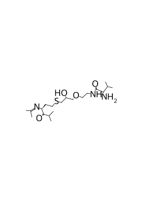 CC(C)=N[C@@H](CCSCC(O)COCCNC(=O)[C@@H](N)C(C)C)C(=O)C(C)C